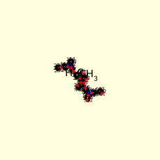 C[Si]1(C)c2cc(-c3ccc(N(c4ccccc4)c4ccc(-c5ccccc5)cc4)cc3)ccc2-c2cc3c4ccccc4c(-c4ccc(N(c5ccccc5)c5ccc(-c6ccccc6)cc5)cc4)cc3c3cccc1c23